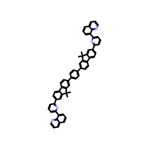 CC1(C)c2cc(-c3ccc(-c4ccc5c(c4)C(C)(C)c4cc(-c6cccc(-c7cccc8cccnc78)n6)ccc4-5)cc3)ccc2-c2ccc(-c3cccc(-c4cccc5cccnc45)n3)cc21